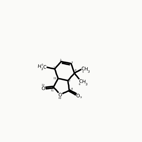 CC1C=CC(C)(C)C2C(=O)OC(=O)C12